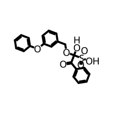 O=C(c1ccccc1)C(O)(OCc1cccc(Oc2ccccc2)c1)S(=O)(=O)O